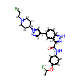 CC(F)Oc1ccc(NC(=O)c2n[nH]c3ccc(-c4cnn(C5CCN(CCF)CC5)c4)cc23)cc1